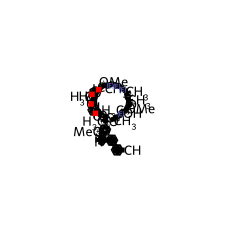 C#Cc1cccc(-c2cccc(-c3cnnn3[C@H]3CC[C@@H](C[C@@H](C)[C@@H]4CC(=O)[C@H](C)/C=C(\C)[C@@H](O)[C@@H](OC)C(=O)[C@H](C)C[C@H](C)/C=C/C=C/C=C(\C)[C@@H](OC)C[C@@H]5CC[C@@H](C)[C@@](O)(O5)C(=O)C(=O)N5CCCC[C@H]5C(=O)O4)C[C@H]3OC)c2)c1